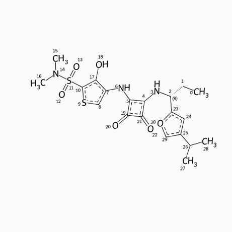 CC[C@@H](Nc1c(Nc2csc(S(=O)(=O)N(C)C)c2O)c(=O)c1=O)c1cc(C(C)C)co1